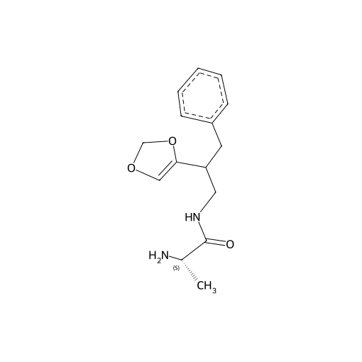 C[C@H](N)C(=O)NCC(Cc1ccccc1)C1=COCO1